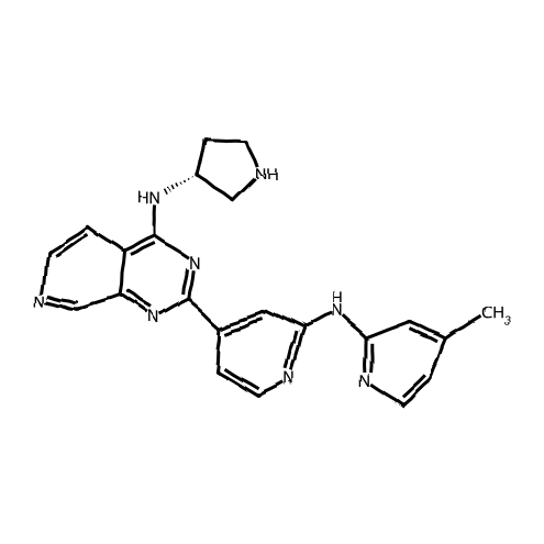 Cc1ccnc(Nc2cc(-c3nc(N[C@@H]4CCNC4)c4ccncc4n3)ccn2)c1